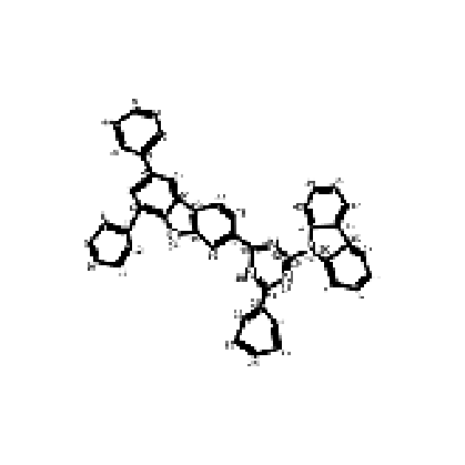 c1ccc(-c2cc(-c3ccccc3)c3oc4cc(-c5nc(-c6ccccc6)nc(-n6c7ccccc7c7ccccc76)n5)ccc4c3c2)cc1